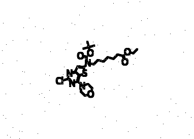 CCOC(=O)CCCCCCN(C(=O)OC(C)(C)C)c1cc2nc(Cl)nc(N3CCOCC3)c2s1